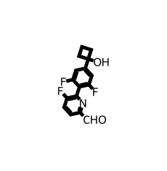 O=Cc1ccc(F)c(-c2c(F)cc(C3(O)CCC3)cc2F)n1